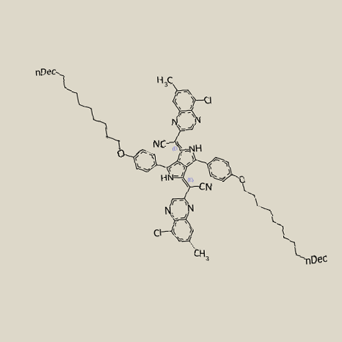 CCCCCCCCCCCCCCCCCCCOc1ccc(-c2[nH]/c(=C(/C#N)c3cnc4c(Cl)cc(C)cc4n3)c3c(-c4ccc(OCCCCCCCCCCCCCCCCCCC)cc4)[nH]/c(=C(/C#N)c4cnc5c(Cl)cc(C)cc5n4)c23)cc1